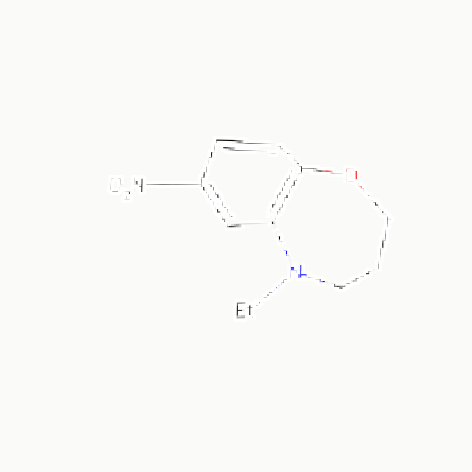 CCN1CCCOc2ccc([N+](=O)[O-])cc21